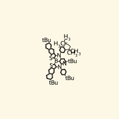 CC(C)(C)c1ccc(N2c3nc(C(C)(C)C)cc4c3B(c3sc5cc6ccc(C(C)(C)C)cc6cc5c3N4c3ccc4c(c3)C(C)(C)CCC4(C)C)c3sc4cc5ccc(C(C)(C)C)cc5cc4c32)cc1